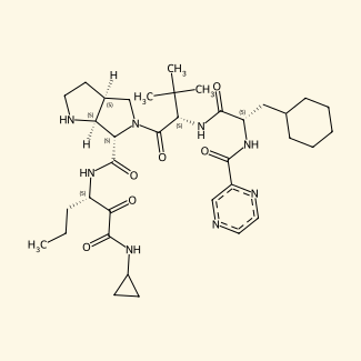 CCC[C@H](NC(=O)[C@@H]1[C@H]2NCC[C@H]2CN1C(=O)[C@@H](NC(=O)[C@H](CC1CCCCC1)NC(=O)c1cnccn1)C(C)(C)C)C(=O)C(=O)NC1CC1